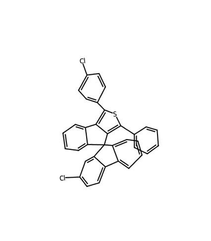 Clc1ccc(-c2sc(-c3ccccc3)c3c2-c2ccccc2C32c3ccccc3-c3ccc(Cl)cc32)cc1